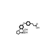 O=C(O)CCc1ccc(Oc2ccc3c(c2)S(O)(O)NC2CCCN32)cc1